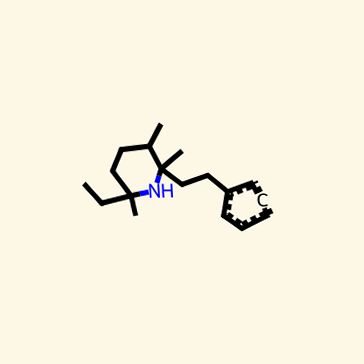 CCC1(C)CCC(C)C(C)(CCc2ccccc2)N1